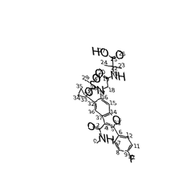 CNC(=O)c1c(-c2ccc(F)cc2)oc2cc(N(CC(=O)NC(C)(C)C(=O)O)S(C)(=O)=O)c(C3CC3)cc12